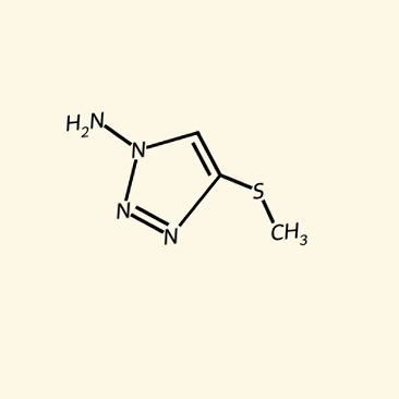 CSc1cn(N)nn1